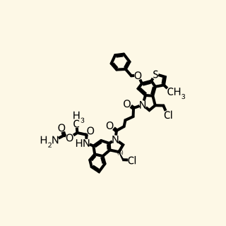 Cc1csc2c(OCc3ccccc3)cc3c(c12)C(CCl)CN3C(=O)CCCC(=O)N1C[C@@H](CCl)c2c1cc(NC(=O)C(C)OC(N)=O)c1ccccc21